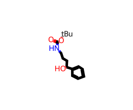 CC(C)(C)OC(=O)NCCCC(O)c1ccccc1